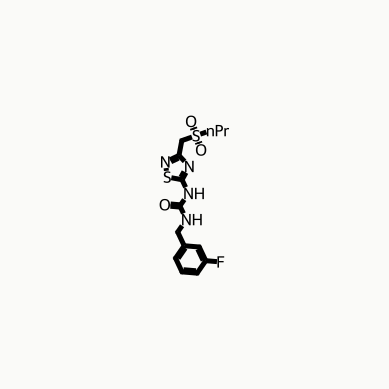 CCCS(=O)(=O)Cc1nsc(NC(=O)NCc2cccc(F)c2)n1